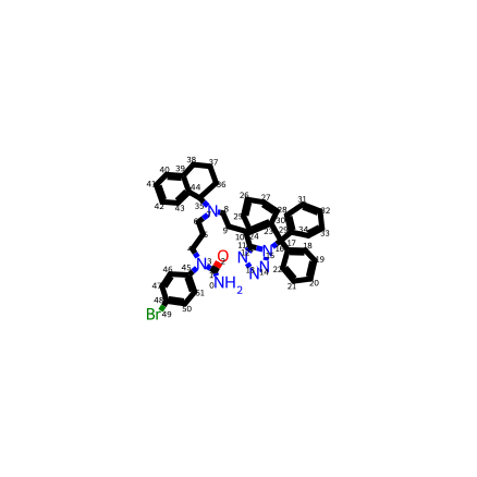 NC(=O)N(CCCN(CCCc1nnnn1C(c1ccccc1)(c1ccccc1)c1ccccc1)C1CCCc2ccccc21)c1ccc(Br)cc1